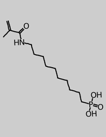 C=C(C)C(=O)NCCCCCCCCCCP(=O)(O)O